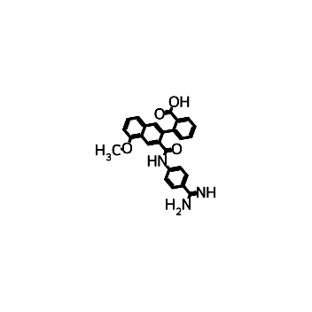 COc1cccc2cc(-c3ccccc3C(=O)O)c(C(=O)Nc3ccc(C(=N)N)cc3)cc12